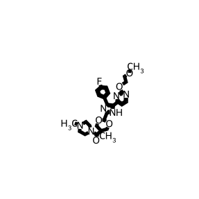 COCCOc1nccc(-c2[nH]c(C3OCC(C)(C(=O)N4CCN(C)CC4)CO3)nc2-c2ccc(F)cc2)n1